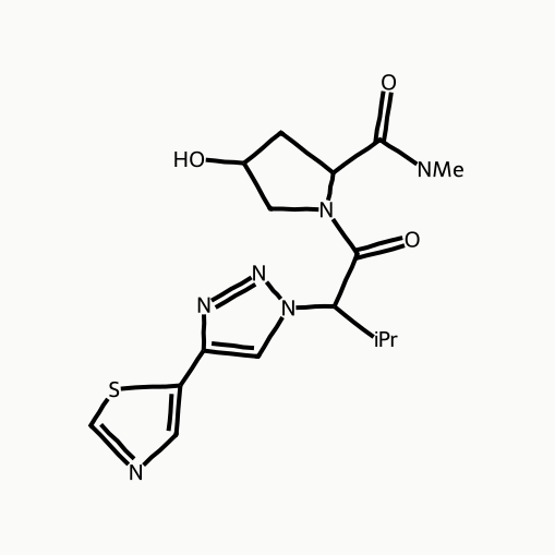 CNC(=O)C1CC(O)CN1C(=O)C(C(C)C)n1cc(-c2cncs2)nn1